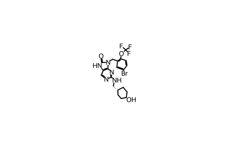 O=c1[nH]c2cnc(NC[C@H]3CC[C@@H](O)CC3)nc2n1Cc1cc(Br)ccc1OC(F)(F)F